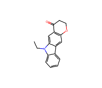 CCn1c2ccccc2c2cc3c(cc21)C(=O)CCO3